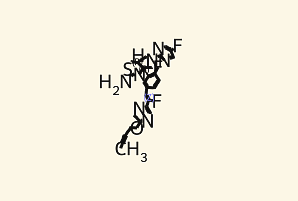 CC#CCOc1cnc(/C(F)=C/c2ccc(F)c([C@]34CN(c5ncc(F)cn5)C[C@H]3CSC(N)=N4)c2)cn1